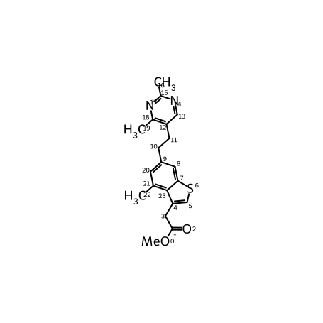 COC(=O)Cc1csc2cc(CCc3cnc(C)nc3C)cc(C)c12